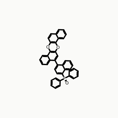 O=P(c1ccccc1)(c1ccccc1)c1ccc(-c2cc3c(c4ccccc24)Oc2ccc4ccccc4c2O3)c2ccccc12